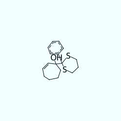 OC1(C2(c3ccccc3)SCCCS2)C=CCCCC1